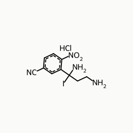 Cl.N#Cc1ccc([N+](=O)[O-])c(C(N)(I)CCN)c1